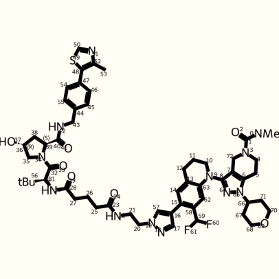 CNC(=O)N1CCc2c(c(N3CCCc4cc(-c5cnn(CCNC(=O)CCCC(=O)N[C@H](C(=O)N6C[C@H](O)C[C@H]6C(=O)NCc6ccc(-c7scnc7C)cc6)C(C)(C)C)c5)c(C(F)F)cc43)nn2C2CCOCC2)C1